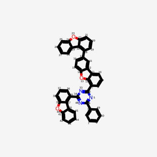 c1ccc(-c2nc(-c3cccc4c3oc3ccc(-c5cccc6oc7ccccc7c56)cc34)nc(-c3cccc4oc5ccccc5c34)n2)cc1